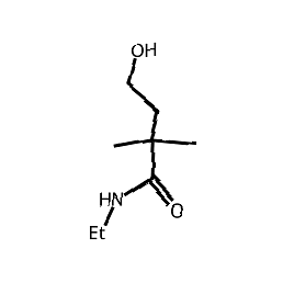 CCNC(=O)C(C)(C)CCO